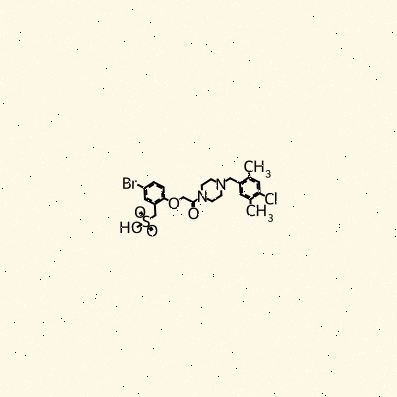 Cc1cc(CN2CCN(C(=O)COc3ccc(Br)cc3CS(=O)(=O)O)CC2)c(C)cc1Cl